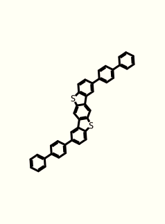 c1ccc(-c2ccc(-c3ccc4sc5cc6c(cc5c4c3)sc3ccc(-c4ccc(-c5ccccc5)cc4)cc36)cc2)cc1